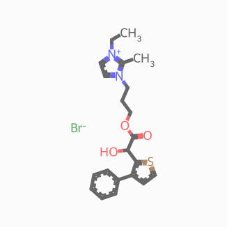 CC[n+]1ccn(CCCOC(=O)C(O)c2sccc2-c2ccccc2)c1C.[Br-]